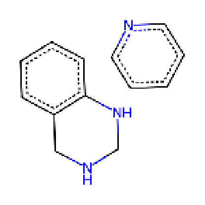 c1ccc2c(c1)CNCN2.c1ccncc1